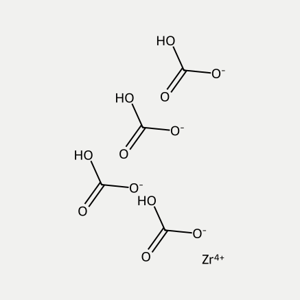 O=C([O-])O.O=C([O-])O.O=C([O-])O.O=C([O-])O.[Zr+4]